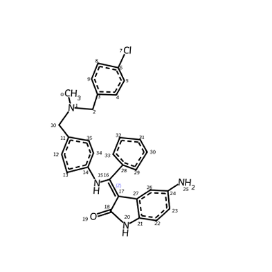 CN(Cc1ccc(Cl)cc1)Cc1ccc(N/C(=C2\C(=O)Nc3ccc(N)cc32)c2ccccc2)cc1